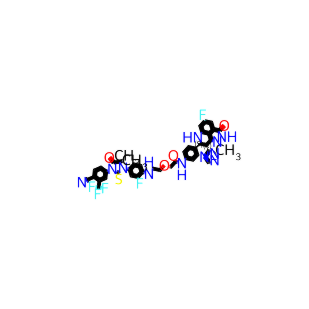 Cn1ncnc1[C@H]1c2n[nH]c(=O)c3cc(F)cc(c23)N[C@@H]1c1ccc(NC(=O)COCCNc2ccc(N3C(=S)N(c4ccc(C#N)c(C(F)(F)F)c4)C(=O)C3(C)C)cc2F)cc1